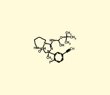 C#Cc1ccc(F)c([C@]2(C)C[SH]3(=O)NCCCCN3C(NC(O)OC(C)(C)C)=N2)c1